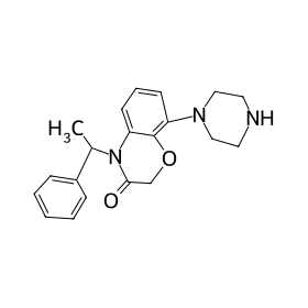 CC(c1ccccc1)N1C(=O)COc2c(N3CCNCC3)cccc21